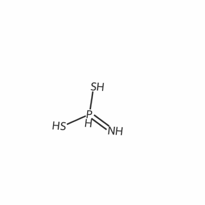 N=[PH](S)S